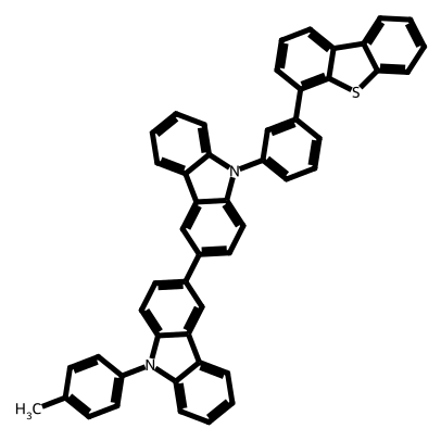 Cc1ccc(-n2c3ccccc3c3cc(-c4ccc5c(c4)c4ccccc4n5-c4cccc(-c5cccc6c5sc5ccccc56)c4)ccc32)cc1